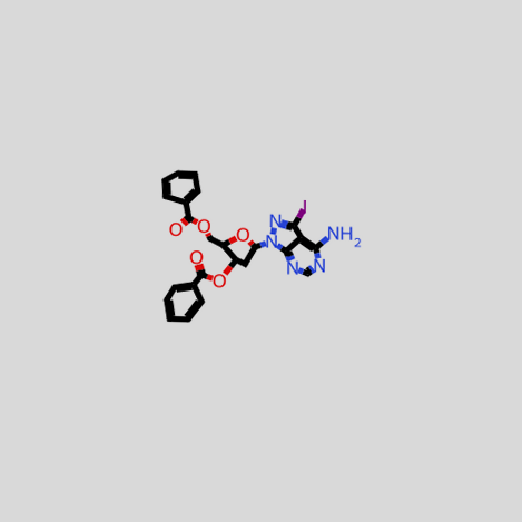 Nc1ncnc2c1c(I)nn2C1CC(OC(=O)c2ccccc2)C(COC(=O)c2ccccc2)O1